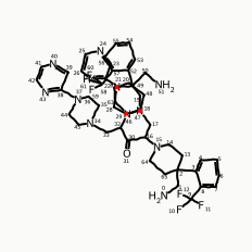 NCC1(c2ccccc2C(F)(F)F)CCN(C(CN2CCN(c3cnccn3)CC2)C(=O)C(CN2CCN(c3cnccn3)CC2)N2CCC(CN)(c3ccccc3C(F)(F)F)CC2)CC1